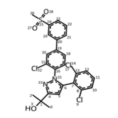 CC(C)(O)c1cc(-c2c(Cl)cccc2Cl)n(-c2ccc(-c3cccc(S(C)(=O)=O)c3)cc2Cl)n1